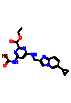 CCOC(=O)c1nc(NCc2cn3cc(C4CC4)ccc3n2)cc(NC(=O)S)n1